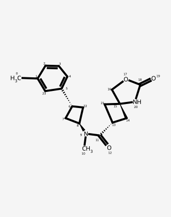 Cc1cccc([C@H]2C[C@H](N(C)C(=O)[C@H]3C[C@]4(COC(=O)N4)C3)C2)c1